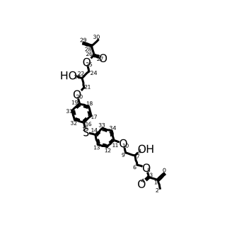 C=C(C)C(=O)OCC(O)COc1ccc(Sc2ccc(OCC(O)COC(=O)C(=C)C)cc2)cc1